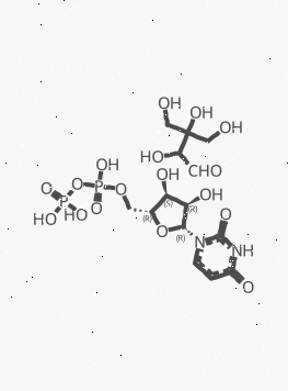 O=CC(O)C(O)(CO)CO.O=c1ccn([C@@H]2O[C@H](COP(=O)(O)OP(=O)(O)O)[C@@H](O)[C@H]2O)c(=O)[nH]1